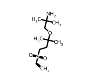 C=CS(=O)(=O)CCC(C)(C)OCC(C)(C)N